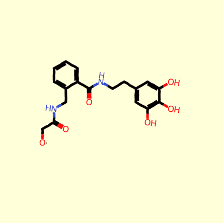 [O]CC(=O)NCc1ccccc1C(=O)NCCc1cc(O)c(O)c(O)c1